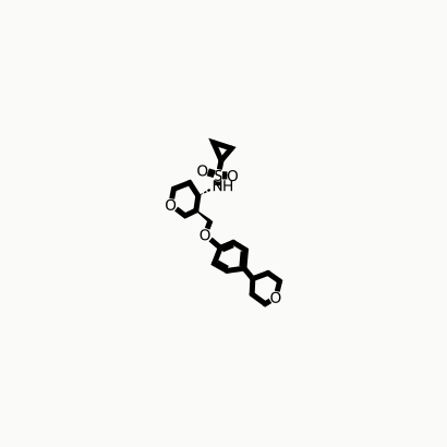 O=S(=O)(N[C@H]1CCOC[C@@H]1COc1ccc(C2CCOCC2)cc1)C1CC1